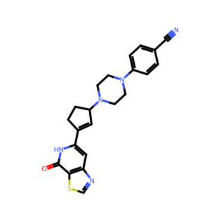 N#Cc1ccc(N2CCN(C3C=C(c4cc5ncsc5c(=O)[nH]4)CC3)CC2)cc1